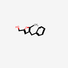 Cc1oc(CO)cc1Cc1ccccc1